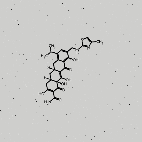 Cc1csc(NCc2cc(N(C)C)c3c(c2O)C(=O)C2=C(O)[C@]4(O)C(=O)C(C(N)=O)=C(O)C[C@@H]4C[C@@H]2C3)n1